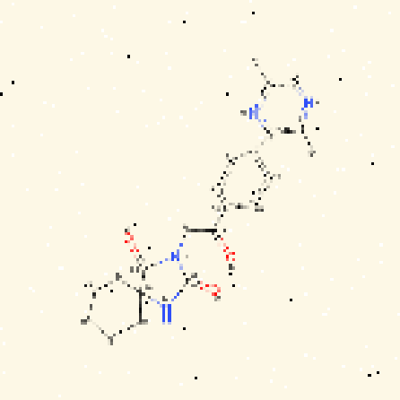 Cc1cnc(C)c(-c2ccc(C(=O)CN3C(=O)NC4(CCCCC4)C3=O)cc2)n1